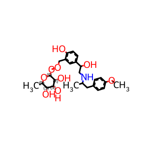 COc1ccc(CC(C)NCC(O)c2ccc(O)c(COO[C@@H]3O[C@H](C)[C@@H](O)[C@H](O)[C@H]3O)c2)cc1